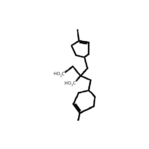 CC1=CCC(CC(CC(=O)O)(CC2CC=C(C)CC2)C(=O)O)CC1